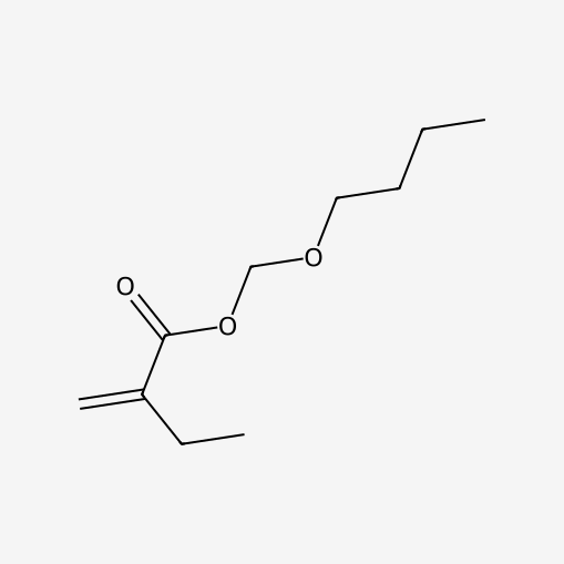 C=C(CC)C(=O)OCOCCCC